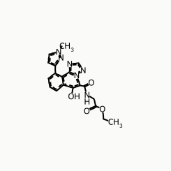 CCOC(=O)CNC(=O)c1c(O)c2cccc(-c3ccn(C)n3)c2c2ncnn12